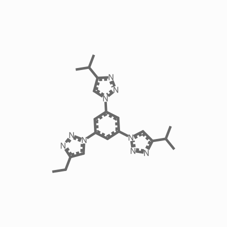 CCc1cn(-c2cc(-n3cc(C(C)C)nn3)cc(-n3cc(C(C)C)nn3)c2)nn1